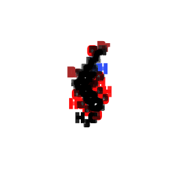 COC1=CC(=O)c2c(O)c3c(c(O)c2C1=O)C(=O)C1(CCc2c1c(O)c1c(=O)[nH]c(/C=C/C(=O)CBr)cc1c2Br)C3=O